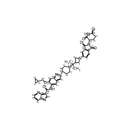 CC(C)(C1CN(c2ccc3c(c2)C(=O)N(C2CCC(=O)NC2=O)C3=O)C1)N1CCC(n2cc3cc(NC(=O)c4cnn5cccnc45)c(OCC4CC4)cc3n2)CC1